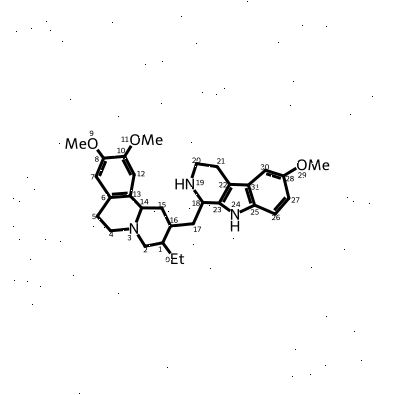 CCC1CN2CCc3cc(OC)c(OC)cc3C2CC1CC1NCCc2c1[nH]c1ccc(OC)cc21